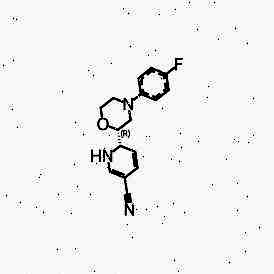 N#CC1=CNC([C@H]2CN(c3ccc(F)cc3)CCO2)C=C1